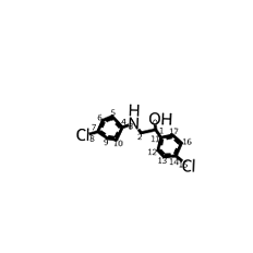 OC(CNc1ccc(Cl)cc1)c1ccc(Cl)cc1